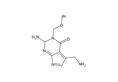 CC(C)OCN1C(=O)C2=C(CN)C=NC2=NC1N